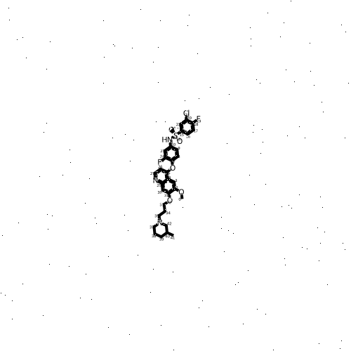 COc1cc2c(Oc3ccc(NS(=O)(=O)c4ccc(F)c(Cl)c4)cc3F)ccnc2cc1OCCCN1CCCC(C)C1